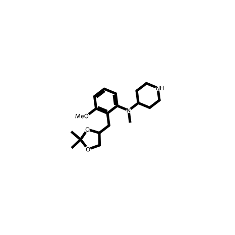 COc1cccc(N(C)C2CCNCC2)c1CC1COC(C)(C)O1